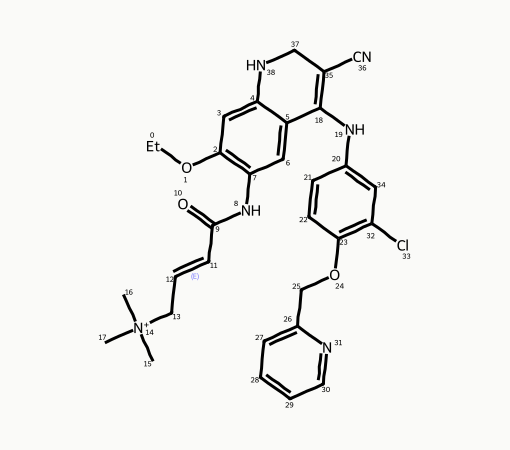 CCOc1cc2c(cc1NC(=O)/C=C/C[N+](C)(C)C)C(Nc1ccc(OCc3ccccn3)c(Cl)c1)=C(C#N)CN2